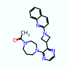 CC(=O)N1CCCN(c2nccnc2C2CN(c3ccc4ccccc4n3)C2)CC1